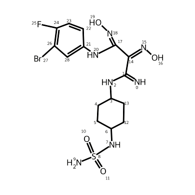 N=C(NC1CCC(NS(N)(=O)=O)CC1)C(=N\O)/C(=N/O)Nc1ccc(F)c(Br)c1